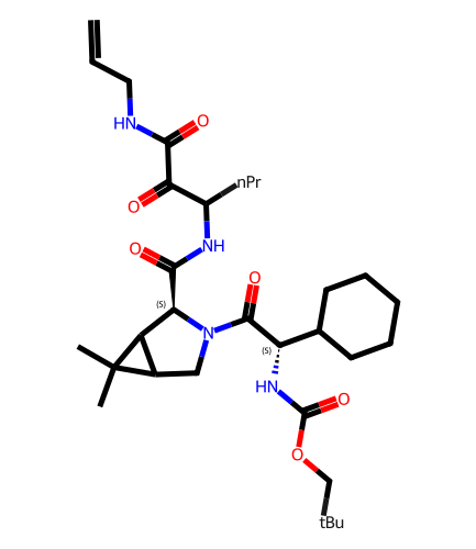 C=CCNC(=O)C(=O)C(CCC)NC(=O)[C@@H]1C2C(CN1C(=O)[C@@H](NC(=O)OCC(C)(C)C)C1CCCCC1)C2(C)C